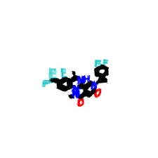 C[C@@H](Nc1nn(C)c(=O)c2cc(=O)n([C@@H]3CC34CCC(F)(F)CC4)cc12)c1cccc(C(F)F)c1F